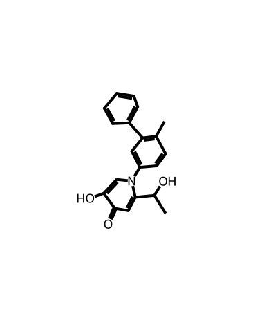 Cc1ccc(-n2cc(O)c(=O)cc2C(C)O)cc1-c1ccccc1